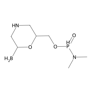 BC1CNCC(CO[PH](=O)N(C)C)O1